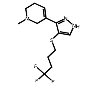 CN1CCC=C(c2n[nH]cc2SCCCC(F)(F)F)C1